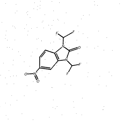 O=c1n(C(F)F)c2ccc([N+](=O)[O-])cc2n1C(F)F